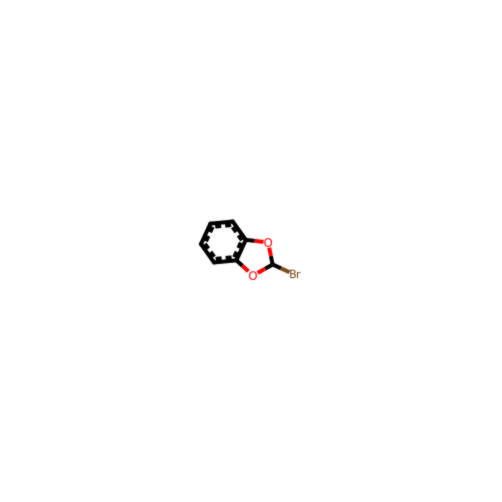 Br[C]1Oc2ccccc2O1